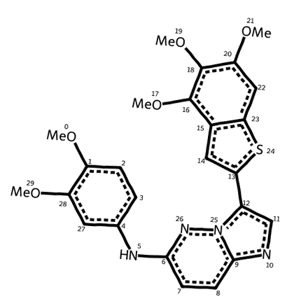 COc1ccc(Nc2ccc3ncc(-c4cc5c(OC)c(OC)c(OC)cc5s4)n3n2)cc1OC